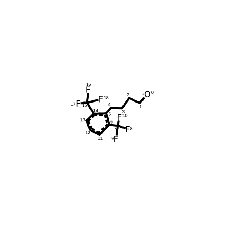 [O]CCCCc1c(C(F)(F)F)cccc1C(F)(F)F